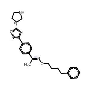 C/C(=N\OCCCCc1ccccc1)c1ccc(-c2noc([C@@H]3CCNC3)n2)cc1